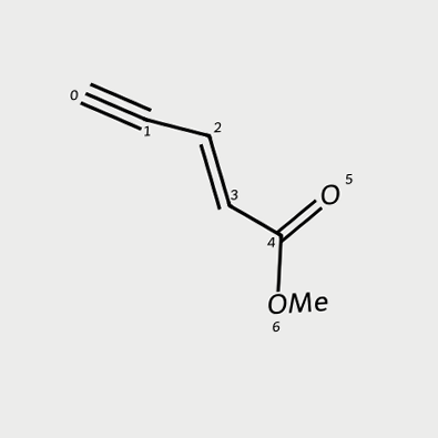 C#C/C=C/C(=O)OC